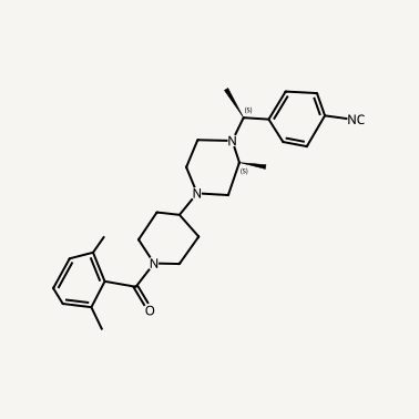 [C-]#[N+]c1ccc([C@H](C)N2CCN(C3CCN(C(=O)c4c(C)cccc4C)CC3)C[C@@H]2C)cc1